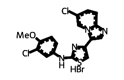 Br.COc1ccc(Nc2nc(-c3cnc4ccc(Cl)cn34)cs2)cc1Cl